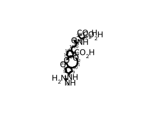 N=C(N)Nc1ccc2c(c1)CCCOc1c(ccc(CCC(=O)NC(CC(=O)O)CC(=O)O)c1C(=O)O)OC2=O